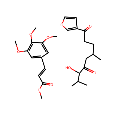 CC(CCC(=O)c1ccoc1)CC(=O)C(O)C(C)C.COC(=O)/C=C/c1cc(OC)c(OC)c(OC)c1